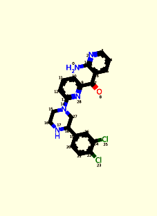 Nc1ncccc1C(=O)c1cccc(N2CCNC(c3ccc(Cl)c(Cl)c3)C2)n1